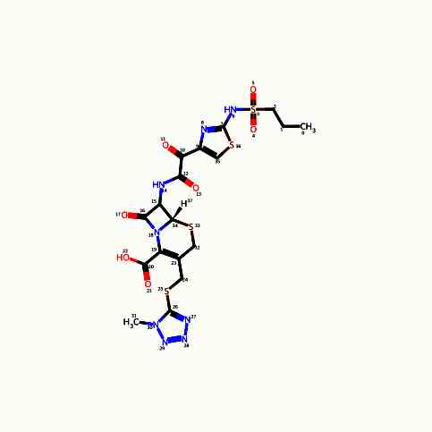 CCCS(=O)(=O)Nc1nc(C(=O)C(=O)NC2C(=O)N3C(C(=O)O)=C(CSc4nnnn4C)CS[C@@H]23)cs1